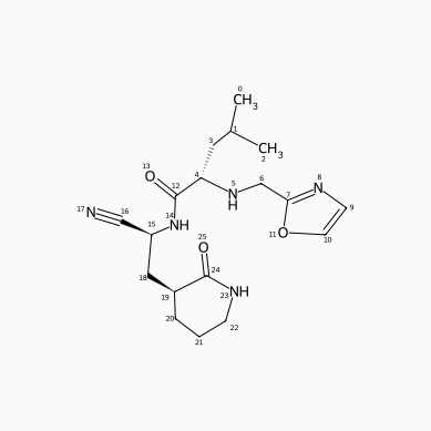 CC(C)C[C@H](NCc1ncco1)C(=O)N[C@H](C#N)C[C@@H]1CCCNC1=O